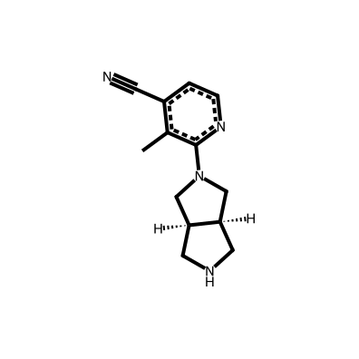 Cc1c(C#N)ccnc1N1C[C@H]2CNC[C@H]2C1